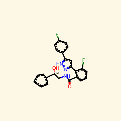 O=C(NC[C@@H](O)c1ccccc1)c1cccc(F)c1-c1cc(-c2ccc(F)cc2)[nH]n1